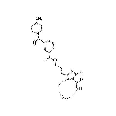 CCn1nc(CCCOC(=O)c2cccc(C(=O)N3CCN(C)CC3)c2)c2c1C(=O)NCCCOCCC2